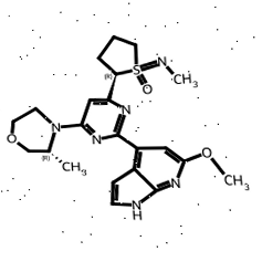 CN=S1(=O)CCC[C@@H]1c1cc(N2CCOC[C@H]2C)nc(-c2cc(OC)nc3[nH]ccc23)n1